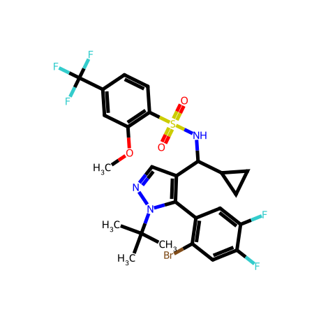 COc1cc(C(F)(F)F)ccc1S(=O)(=O)NC(c1cnn(C(C)(C)C)c1-c1cc(F)c(F)cc1Br)C1CC1